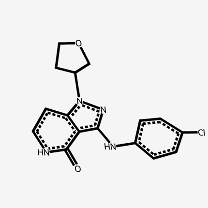 O=c1[nH]ccc2c1c(Nc1ccc(Cl)cc1)nn2C1CCOC1